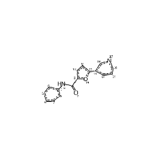 O=C(Nc1ccccc1)c1ccc(-c2cccnc2)o1